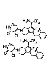 NC(c1nn(Cc2ccccc2C(F)(F)F)c2c1CN(c1cn[nH]c(=O)c1Cl)CC2)C(F)(F)F.N[C@H](c1nn(Cc2ccccc2C(F)(F)F)c2c1CN(c1cn[nH]c(=O)c1Cl)CC2)C(F)(F)F